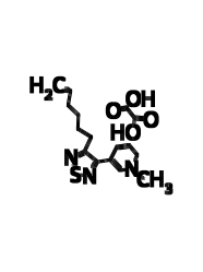 C=CCCCCc1nsnc1C1=CN(C)CC=C1.O=C(O)C(=O)O